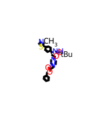 Cc1ncsc1-c1ccc([C@H](CCN2CCN(CC(=O)OCc3ccccc3)CC2)NC(=O)OC(C)(C)C)cc1